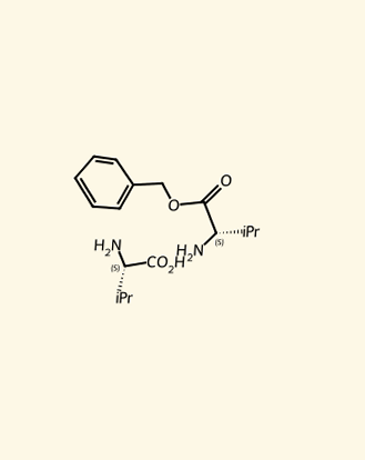 CC(C)[C@H](N)C(=O)O.CC(C)[C@H](N)C(=O)OCc1ccccc1